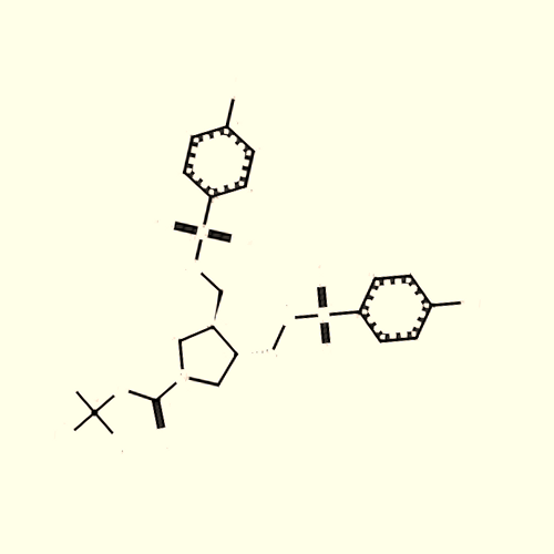 Cc1ccc(S(=O)(=O)OC[C@@H]2CN(C(=O)OC(C)(C)C)C[C@H]2COS(=O)(=O)c2ccc(C)cc2)cc1